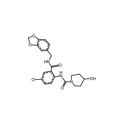 O=C(NCc1ccc2c(c1)OCO2)c1cc(Cl)ccc1NC(=O)N1CCC(O)CC1